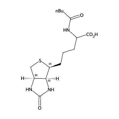 CCCCC(=O)NC(CCC[C@@H]1SC[C@@H]2NC(=O)N[C@@H]21)C(=O)O